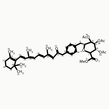 COC(=O)C1O[C@@H](Cc2ccc(CC(=O)/C=C(C)/C=C/C=C(C)/C=C/C3=C(C)CCCC3(C)C)cc2)C(OC(C)=O)[C@@H](OC(C)=O)[C@@H]1OC(C)=O